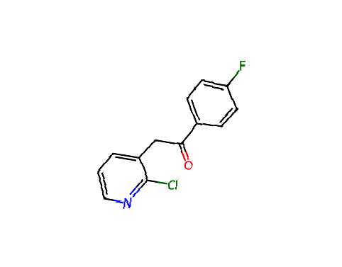 O=C(Cc1cccnc1Cl)c1ccc(F)cc1